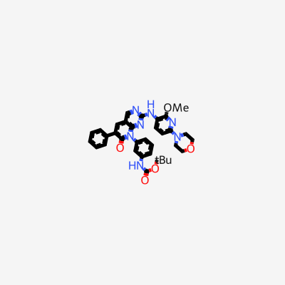 COc1nc(N2CCOCC2)ccc1Nc1ncc2cc(-c3ccccc3)c(=O)n(-c3cccc(NC(=O)OC(C)(C)C)c3)c2n1